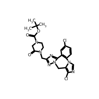 CC(C)(C)OC(=O)N1CCN(Cc2nc3n(n2)Cc2c(Cl)ncn2-c2ccc(Cl)cc2-3)C(=O)C1